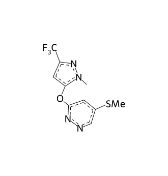 CSc1cnnc(Oc2cc(C(F)(F)F)nn2C)c1